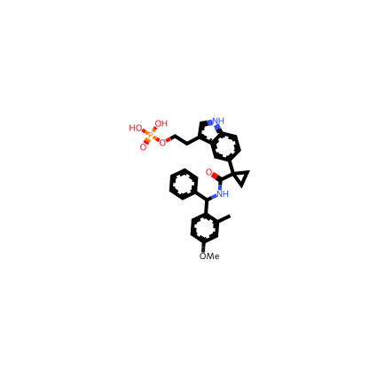 COc1ccc(C(NC(=O)C2(c3ccc4[nH]cc(CCOP(=O)(O)O)c4c3)CC2)c2ccccc2)c(C)c1